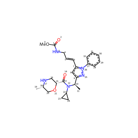 COC(=O)NC/C=C/c1cc([C@@H](C)N(C(=O)[C@H]2CN[C@@H](C)CO2)C2CC2)nn1-c1ccccc1